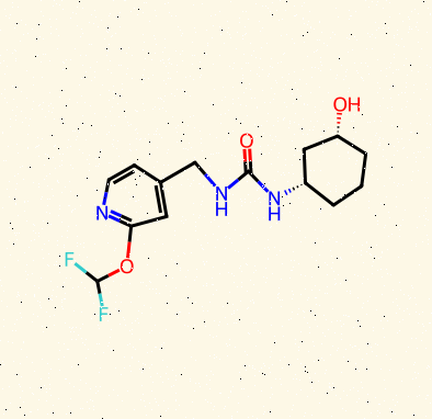 O=C(NCc1ccnc(OC(F)F)c1)N[C@H]1CCC[C@@H](O)C1